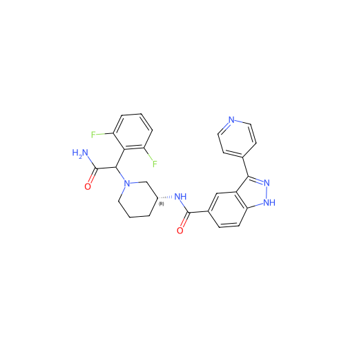 NC(=O)C(c1c(F)cccc1F)N1CCC[C@@H](NC(=O)c2ccc3[nH]nc(-c4ccncc4)c3c2)C1